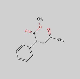 COC(=O)[C@H](CC(C)=O)c1ccccc1